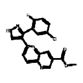 COC(=O)c1cnc2ccc(-c3c[nH]nc3-c3cc(Cl)ccc3F)nc2c1